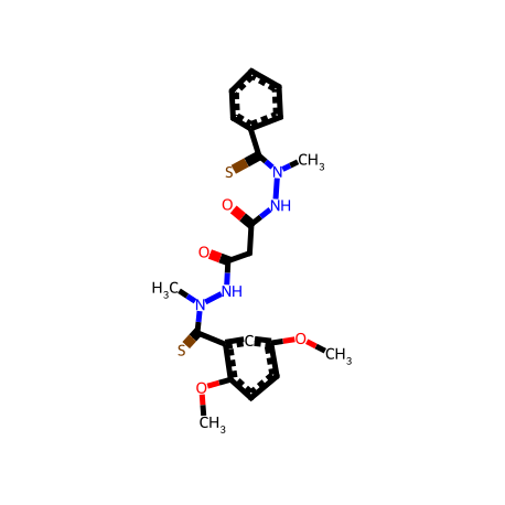 COc1ccc(OC)c(C(=S)N(C)NC(=O)CC(=O)NN(C)C(=S)c2ccccc2)c1